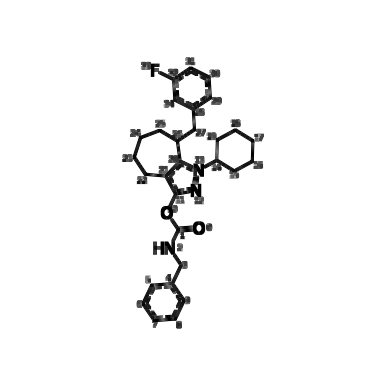 O=C(NCc1ccccc1)Oc1nn(C2CCCCC2)c2c1CCCCC2Cc1cccc(F)c1